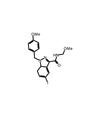 COCNC(=O)C1=NN(Cc2ccc(OC)cc2)C2CC=C(I)C=C12